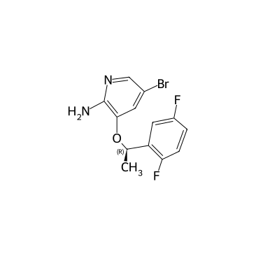 C[C@@H](Oc1cc(Br)cnc1N)c1cc(F)ccc1F